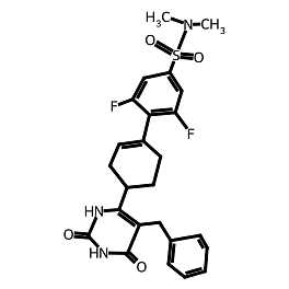 CN(C)S(=O)(=O)c1cc(F)c(C2=CCC(c3[nH]c(=O)[nH]c(=O)c3Cc3ccccc3)CC2)c(F)c1